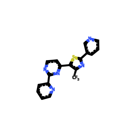 FC(F)(F)c1nc(-c2cccnc2)sc1-c1ccnc(-c2ccccn2)n1